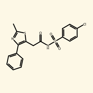 Cc1nc(-c2ccccc2)c(CC(=O)NS(=O)(=O)c2ccc(Cl)cc2)s1